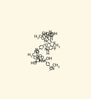 CO[C@H](C)[C@@H](C)Oc1nc(N2C[C@@H]3C[C@H]2CN3)c2cc(C3CC3)c(-c3c(C)c(F)cc4[nH]ncc34)c(OCc3ccc(-c4cn([C@H](C(=O)N5C[C@H](O)C[C@H]5C(=O)N[C@@H](CO)c5ccc(-c6scnc6C)cc5)C(C)C)nn4)cc3)c2n1